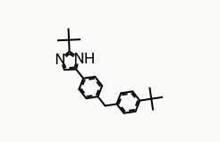 CC(C)(C)c1ccc(Cc2ccc(-c3cnc(C(C)(C)C)[nH]3)cc2)cc1